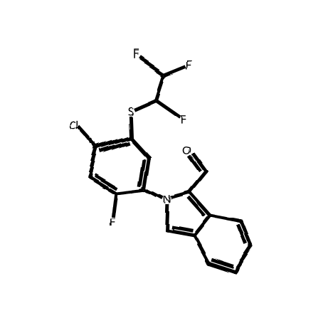 O=Cc1c2ccccc2cn1-c1cc(SC(F)C(F)F)c(Cl)cc1F